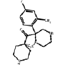 Cc1cc(F)ccc1C1(C(=O)C2CCNCC2)CNCCN1C(=O)O